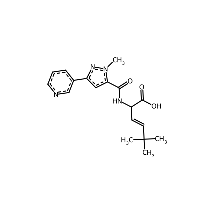 Cn1nc(-c2cccnc2)cc1C(=O)NC(/C=C/C(C)(C)C)C(=O)O